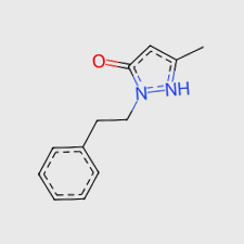 Cc1cc(=O)n(CCc2ccccc2)[nH]1